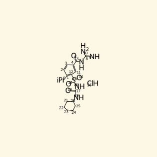 CC(C)c1ccc(C(=O)NC(=N)N)cc1S(=O)(=O)NC(=O)NC1CCCCC1.Cl